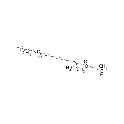 CC(C)CCCCOC(=O)CCCCCCCCCCCCCC(CCC(=O)OCCCCC(C)C)C(C)C